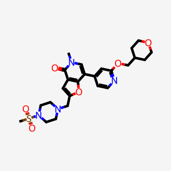 Cn1cc(-c2ccnc(OCC3CCOCC3)c2)c2oc(CN3CCN(S(C)(=O)=O)CC3)cc2c1=O